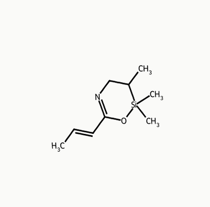 CC=CC1=NCC(C)[Si](C)(C)O1